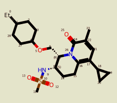 CCC1CCC(OC[C@H]2[C@@H](NS(C)(=O)=O)CCc3c(C4CC4)cc(C)c(=O)n32)CC1